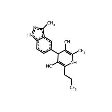 Cc1n[nH]c2ccc(C3C(C#N)=C(CCC(F)(F)F)NC(C(F)(F)F)=C3C#N)cc12